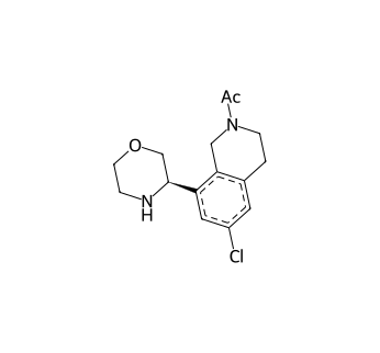 CC(=O)N1CCc2cc(Cl)cc([C@@H]3COCCN3)c2C1